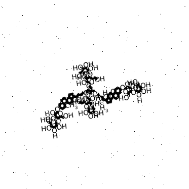 CC(CCCOCC(COCCCC(C)C1CCC2C3CCC4CC(O[C@@H]5OC(CO)[C@@H](O[C@H]6OC(CO)[C@@H](O)C(O)[C@@H]6O)C(O)[C@@H]5O)CCC4(C)C3CCC12C)(CO[C@H]1OC(CO)[C@H](O[C@@H]2OC[C@H](O)C(O)[C@H]2O)C(O)[C@H]1O)CO[C@@H]1OC(CO)[C@@H](O[C@H]2OC(CO)[C@@H](O)C(O)[C@@H]2O)C(O)[C@@H]1O)C1CCC2C3CCC4CC(O[C@H]5OC(CO)[C@H](O[C@@H]6OC(CO)[C@H](O)C(O)[C@H]6O)C(O)[C@H]5O)CCC4(C)C3CCC12C